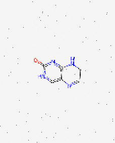 O=c1nc2c(c[nH]1)N=CCN2